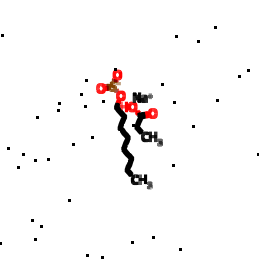 CCC(=O)O.CCCCCCCCO[S-](=O)=O.[Na+]